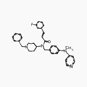 CN(c1ccncc1)c1ccc(CN(C(=O)/C=C/c2cccc(F)c2)C2CCN(Cc3ccccc3)CC2)cc1